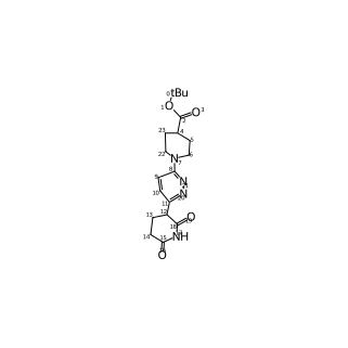 CC(C)(C)OC(=O)C1CCN(c2ccc(C3CCC(=O)NC3=O)nn2)CC1